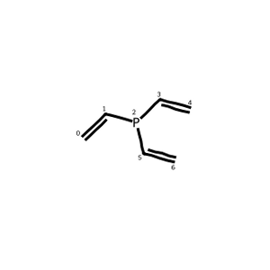 C=CP(C=C)C=C